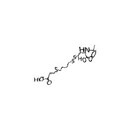 CC(=O)NC(CCSSCCCCSCCC(=O)O)C(=O)O